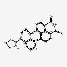 O=C1NC(=O)c2ccc3c4ccc(B5OCCO5)c5cccc(c6ccc1c2c63)c54